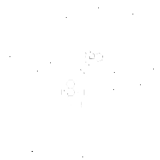 CCc1c(C)c2cc(CCN3CCN(c4nsc5ccccc45)CC3)ccc2[nH]c1=O